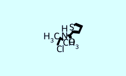 CC(C)(CCl)NC(=O)c1cccs1